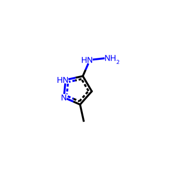 Cc1cc(NN)[nH]n1